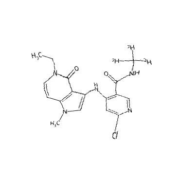 [2H]C([2H])([2H])NC(=O)c1cnc(Cl)cc1Nc1cn(C)c2ccn(CC)c(=O)c12